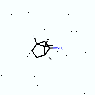 CC1(C)[C@@H]2CC[C@]1(C)C(N)C2